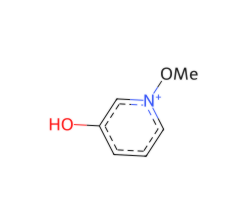 CO[n+]1cccc(O)c1